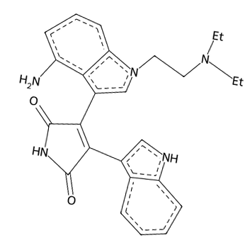 CCN(CC)CCn1cc(C2=C(c3c[nH]c4ccccc34)C(=O)NC2=O)c2c(N)cccc21